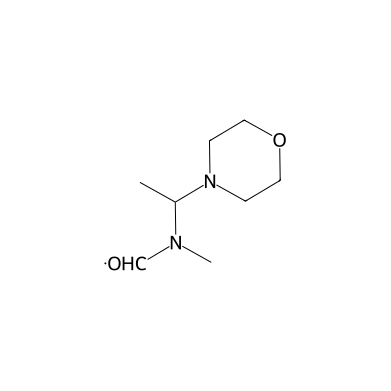 CC(N(C)[C]=O)N1CCOCC1